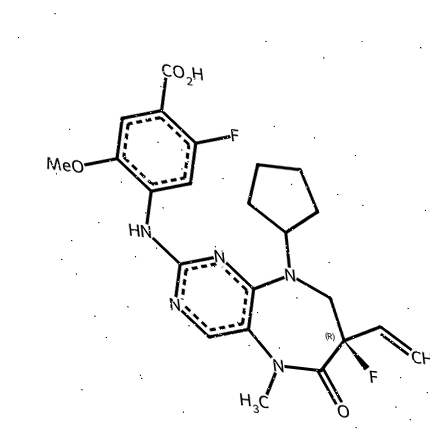 C=C[C@@]1(F)CN(C2CCCC2)c2nc(Nc3cc(F)c(C(=O)O)cc3OC)ncc2N(C)C1=O